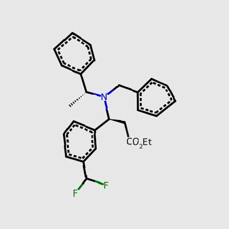 CCOC(=O)C[C@@H](c1cccc(C(F)F)c1)N(Cc1ccccc1)[C@H](C)c1ccccc1